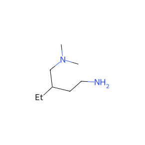 CCC(CCN)CN(C)C